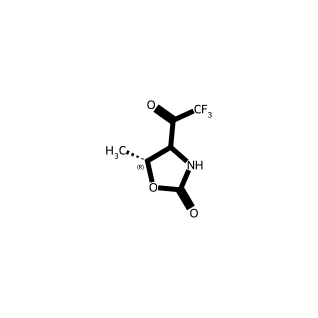 C[C@H]1OC(=O)NC1C(=O)C(F)(F)F